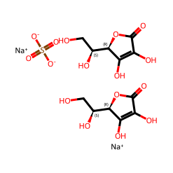 O=C1O[C@H]([C@@H](O)CO)C(O)=C1O.O=C1O[C@H]([C@@H](O)CO)C(O)=C1O.O=S(=O)([O-])[O-].[Na+].[Na+]